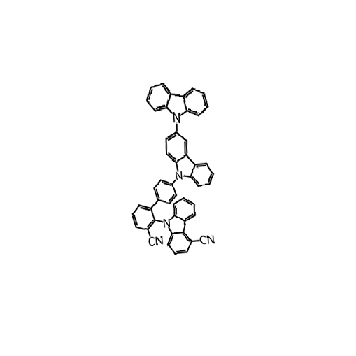 N#Cc1cccc(-c2ccc(-n3c4ccccc4c4cc(-n5c6ccccc6c6ccccc65)ccc43)cc2)c1-n1c2ccccc2c2c(C#N)cccc21